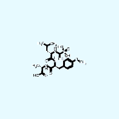 COc1ccc(C[C@H](NC(=O)[C@H](CC(C)C)NC(C)P(=O)(O)O)C(=O)N[C@@H](C)C(=O)O)cc1